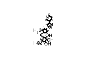 Cc1cc(-n2cc(-c3cccnc3)nn2)ccc1O[C@H]1O[C@H](CO)[C@@H](O)[C@H](O)[C@@H]1O